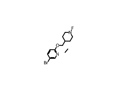 CC.FN1CCC(COc2ccc(Br)cn2)CC1